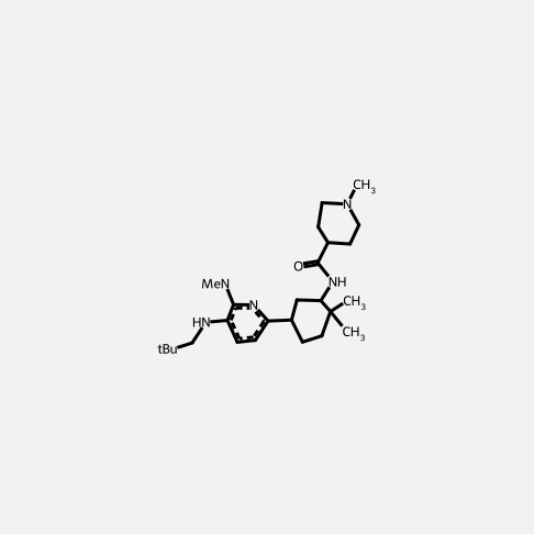 CNc1nc(C2CCC(C)(C)C(NC(=O)C3CCN(C)CC3)C2)ccc1NCC(C)(C)C